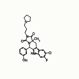 CC12Cc3c([nH]c4cc(F)c(Cl)cc34)C(c3cccc(O)c3)N1C(=O)N(CCCN1CCCC1)C2=O